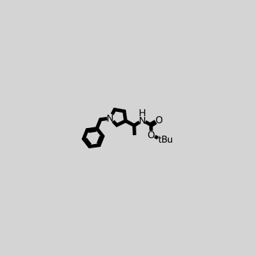 CC(NC(=O)OC(C)(C)C)C1CCN(Cc2ccccc2)C1